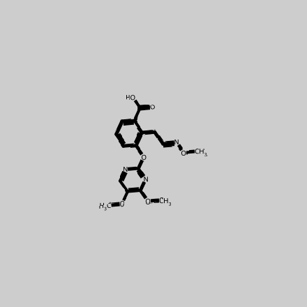 CON=CCc1c(Oc2ncc(OC)c(OC)n2)cccc1C(=O)O